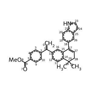 C=C(c1ccc(C(=O)OC)cc1)c1ccc2c(c1)C(c1ccc3[nH]ccc3c1)=CCC2(C)C